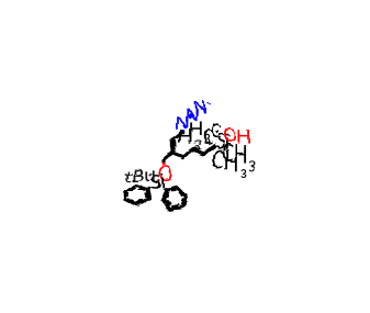 CC(C)(CCC/C(=C\CN=[N+]=[N-])CO[Si](c1ccccc1)(c1ccccc1)C(C)(C)C)[Si](C)(C)O